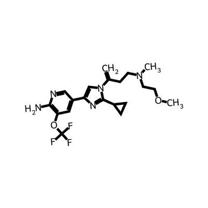 C=C(CCN(C)CCOC)n1cc(-c2cnc(N)c(OC(F)(F)F)c2)nc1C1CC1